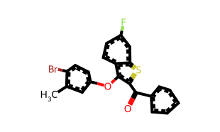 Cc1cc(Oc2c(C(=O)c3ccccc3)sc3cc(F)ccc23)ccc1Br